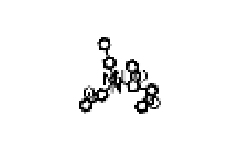 c1ccc(-c2ccc(-c3nc(-c4ccc5c(c4)oc4ccccc45)nc(-c4ccc(-c5cccc6oc7ccccc7c56)c5oc6ccccc6c45)n3)cc2)cc1